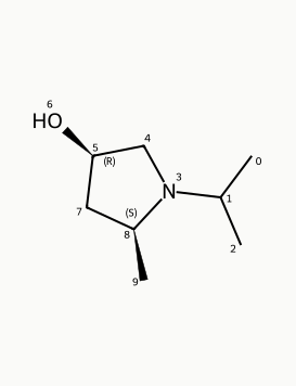 CC(C)N1C[C@H](O)C[C@@H]1C